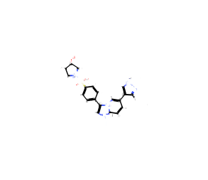 Cc1nn(C)cc1C1=CN2C(c3ccc(S(=O)(=O)N4CC[C@@H](O)C4)cc3)=CNC2C=C1